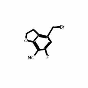 N#Cc1c(F)cc(CBr)c2c1OCC2